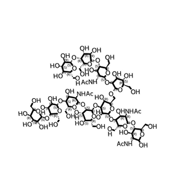 CC(=O)N[C@H]1[C@H](O[C@H]2[C@H](O)[C@@H](NC(C)=O)C(O)O[C@@H]2CO)O[C@H](CO)[C@@H](O[C@@H]2O[C@H](CO[C@H]3O[C@H](CO)[C@@H](O)[C@H](O)[C@@H]3O[C@@H]3O[C@H](CO)[C@@H](O[C@@H]4O[C@H](CO)[C@H](O[C@@H]5O[C@H](CO)[C@H](O)[C@H](O)[C@H]5O)[C@H](O)[C@H]4O)[C@H](O)[C@H]3NC(C)=O)[C@@H](O)[C@H](O[C@H]3O[C@H](CO)[C@@H](O)[C@H](O)[C@@H]3O[C@@H]3O[C@H](CO)[C@@H](O[C@@H]4O[C@H](CO)[C@H](O[C@@H]5O[C@H](CO)[C@H](O)[C@H](O)[C@H]5O)[C@H](O)[C@H]4O)[C@H](O)[C@H]3NC(C)=O)[C@@H]2O)[C@@H]1O